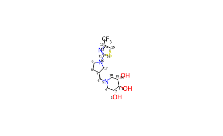 O[C@H]1[C@H](O)CN(C[C@H]2CCN(c3nc(C(F)(F)F)cs3)C2)C[C@@H]1O